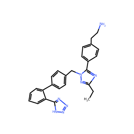 CCc1nc(-c2ccc(CCN)cc2)n(Cc2ccc(-c3ccccc3-c3nnn[nH]3)cc2)n1